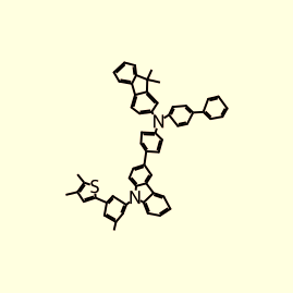 Cc1cc(-c2cc(C)c(C)s2)cc(-n2c3ccccc3c3cc(-c4ccc(N(c5ccc(-c6ccccc6)cc5)c5ccc6c(c5)C(C)(C)c5ccccc5-6)cc4)ccc32)c1